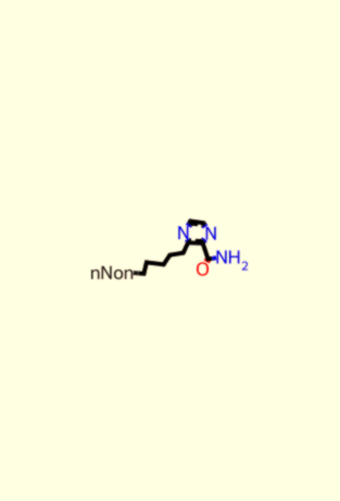 CCCCCCCCCCCCCCc1nccnc1C(N)=O